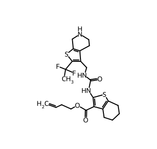 C=CCCOC(=O)c1c(NC(=O)NCc2c(C(C)(F)F)sc3c2CCNC3)sc2c1CCCC2